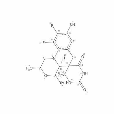 CC(C)C1O[C@H](C(F)(F)F)CN2c3c(cc(C#N)c(F)c3F)CC3(C(=O)NC(=O)NC3=O)[C@@H]12